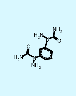 NC(=O)N(N)c1c[c]cc(N(N)C(N)=O)c1